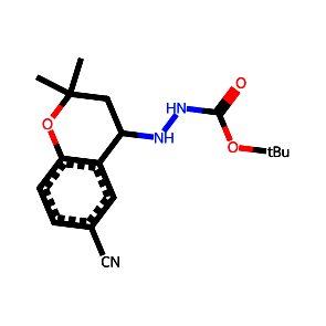 CC(C)(C)OC(=O)NNC1CC(C)(C)Oc2ccc(C#N)cc21